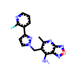 Cc1nc2nonc2c(N)c1Cn1ccc(-c2cccnc2F)n1